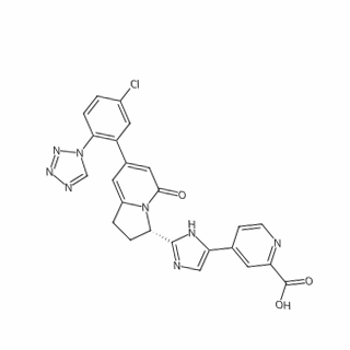 O=C(O)c1cc(-c2cnc([C@@H]3CCc4cc(-c5cc(Cl)ccc5-n5cnnn5)cc(=O)n43)[nH]2)ccn1